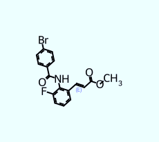 COC(=O)/C=C/c1cccc(F)c1NC(=O)c1ccc(Br)cc1